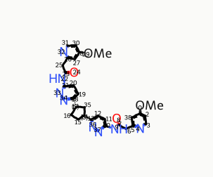 COc1ccnc(CC(=O)Nc2ccc([C@H]3CC[C@H](c4ccc(NC(=O)Cc5cc(OC)ccn5)nn4)C3)nn2)c1